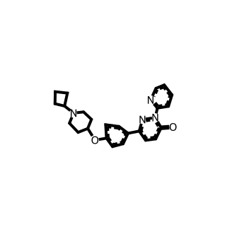 O=c1ccc(-c2ccc(OC3CCN(C4CCC4)CC3)cc2)nn1-c1ccccn1